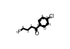 O=C(CCCF)c1ccc(Cl)cc1